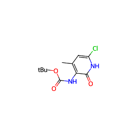 Cc1cc(Cl)[nH]c(=O)c1NC(=O)OC(C)(C)C